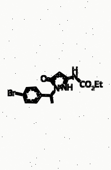 CCOC(=O)Nc1cc(=O)n(C(C)c2ccc(Br)cc2)[nH]1